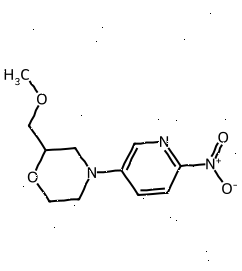 COCC1CN(c2ccc([N+](=O)[O-])nc2)CCO1